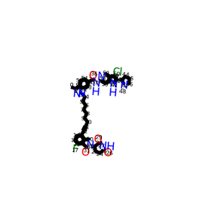 Cc1nn(CCCCCCCC#Cc2ccc(F)c3c2CN(C2CCC(=O)NC2=O)C3=O)c2cc(C(=O)Nc3cc4[nH]c([C@H]5CCCN5C)c(Cl)c4cn3)ccc12